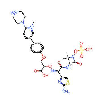 C[n+]1cc(-c2ccc(OCC(O/N=C(\C(=O)N[C@@H]3C(=O)N(OS(=O)(=O)O)C3(C)C)c3csc(N)n3)C(=O)O)cc2)ccc1N1CCNCC1